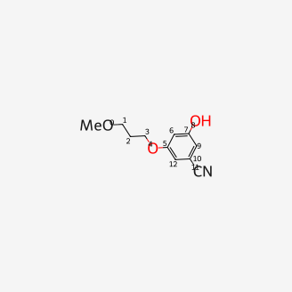 COCCCOc1cc(O)cc(C#N)c1